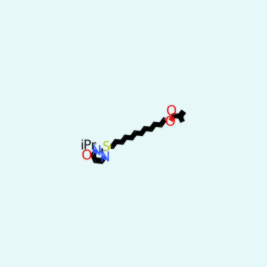 C=C(C)C(=O)OCCCCCCCCCCCCSc1nccc(=O)n1C(C)C